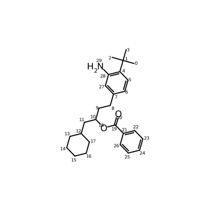 CC(C)(C)c1ccc(CCC(CC2CCCCC2)OC(=O)c2ccccc2)cc1N